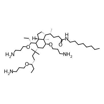 CCCCCCCCNC(=O)CC[C@@H](C)[C@H]1CC[C@H]2C([C@@H](CC)OCCCN)[C@@H](C(C)(C)CC[C@H](CC)OCCCN)C[C@H](OCCCN)[C@]12C